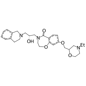 CCN1CCOC(COc2ccc3c(c2)OCCN(C[C@H](O)CN2CCc4ccccc4C2)C3=O)C1